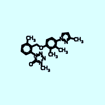 Cc1ccn(-c2ccc(OCc3c(C)cccc3-n3nnn(C)c3=O)c(C)c2C)n1